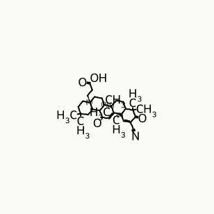 CC1(C)CC[C@]2(CCC(=O)O)CC[C@]3(C)C(C(=O)C=C4[C@@]5(C)C=C(C#N)C(=O)C(C)(C)C5CC[C@]43C)C2C1